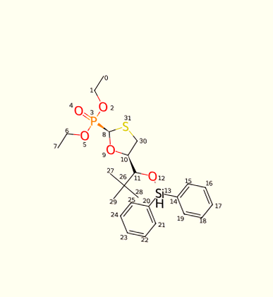 CCOP(=O)(OCC)[C@@H]1O[C@H](C(O[SiH](c2ccccc2)c2ccccc2)C(C)(C)C)CS1